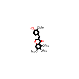 COc1cc(/C=C2\COc3cc(OC)c(OC)c(OC)c3C2=O)ccc1O